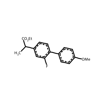 CCOC(=O)C(C)c1ccc(-c2ccc(OC)cc2)c(F)c1